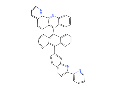 c1ccc(-c2ccc3ccc(-c4c5ccccc5c(-c5c6ccccc6nc6c5ccc5cccnc56)c5ccccc45)cc3n2)nc1